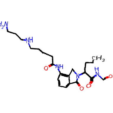 CCCC(C(=O)NC=O)N1Cc2c(NC(=O)CCCCNCCCN)cccc2C1=O